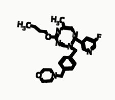 CCCCOc1ncn(Cc2ccc(CN3CCOCC3)cc2)c(-c2cncc(F)c2)ncc(C)n1